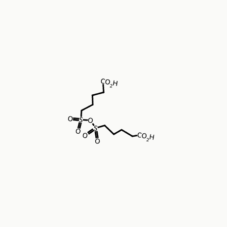 O=C(O)CCCCS(=O)(=O)OS(=O)(=O)CCCCC(=O)O